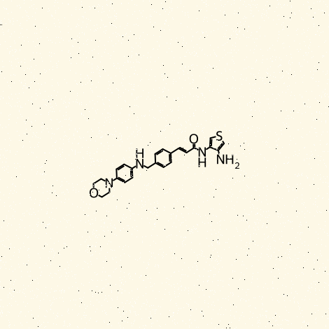 Nc1cscc1NC(=O)C=Cc1ccc(CNc2ccc(N3CCOCC3)cc2)cc1